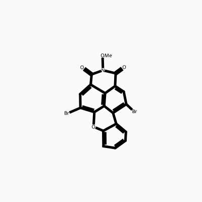 COn1c(=O)c2cc(Br)c3oc4ccccc4c4c(Br)cc(c1=O)c2c34